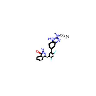 CN(C(=O)O)c1nc2cc(-c3cc(Cc4n[nH]c(=O)c5ccccc45)c(F)cc3F)ccc2[nH]1